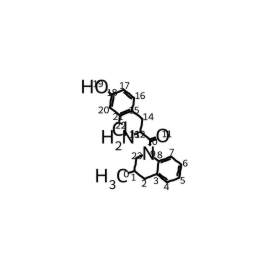 CC1Cc2ccccc2N(C(=O)[C@@H](N)Cc2ccc(O)cc2Cl)C1